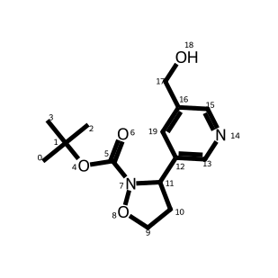 CC(C)(C)OC(=O)N1OCCC1c1cncc(CO)c1